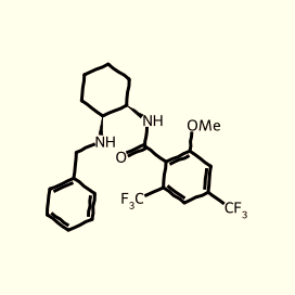 COc1cc(C(F)(F)F)cc(C(F)(F)F)c1C(=O)N[C@@H]1CCCC[C@@H]1NCc1ccccc1